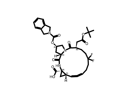 CC(C)(C)OC(=O)C[C@H]1CCC(F)(F)CCC=C=C[C@@H]2C[C@@]2(C(=O)O)NC(=O)[C@@H]2C[C@@H](OC(=O)N3Cc4ccccc4C3)CN2C1=O